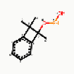 CC1(C)c2ccccc2C1(C)OPO